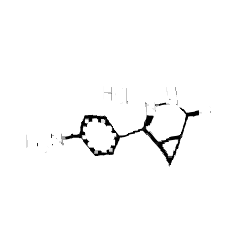 Cl.Nc1ccc(C2=NNC(=O)C3CC23)cc1